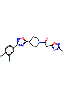 Cc1noc(CC(=O)N2CCC(c3nc(-c4ccc(Cl)c(F)c4)no3)CC2)n1